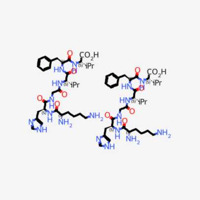 CC(C)[C@H](NC(=O)[C@H](Cc1ccccc1)NC(=O)[C@@H](NC(=O)CNC(=O)[C@H](Cc1c[nH]cn1)NC(=O)[C@@H](N)CCCCN)C(C)C)C(=O)O.CC(C)[C@H](NC(=O)[C@H](Cc1ccccc1)NC(=O)[C@@H](NC(=O)CNC(=O)[C@H](Cc1c[nH]cn1)NC(=O)[C@@H](N)CCCCN)C(C)C)C(=O)O